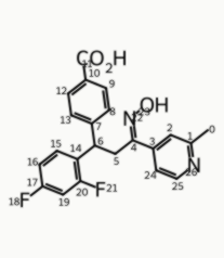 Cc1cc(C(CC(c2ccc(C(=O)O)cc2)c2ccc(F)cc2F)=NO)ccn1